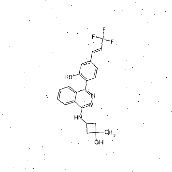 CC1(O)CC(Nc2nnc(-c3ccc(/C=C/C(F)(F)F)cc3O)c3ccccc23)C1